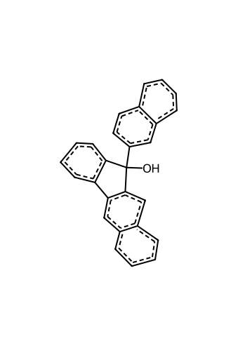 OC1(c2ccc3ccccc3c2)c2ccccc2-c2cc3ccccc3cc21